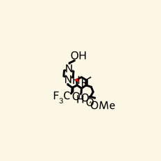 COOC1(C)CC[C@@H]2C3[C@H](OC(C(F)(F)F)=C(CN4CCN(CCO)CC4)[C@@H]3CC[C@H]2C)O1